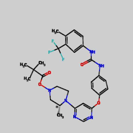 Cc1ccc(NC(=O)Nc2ccc(Oc3cc(N4CCN(OC(=O)C(C)(C)C)C[C@H]4C)ncn3)cc2)cc1C(F)(F)F